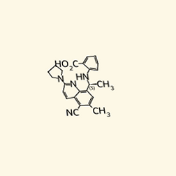 Cc1cc([C@H](C)Nc2ccccc2C(=O)O)c2nc(N3CCCC3)ccc2c1C#N